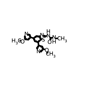 CCNC(=O)Nc1nc2cc(-c3cncc(OC)c3)cc(-c3cncc(OC)c3)c2s1